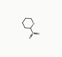 O=P(=O)C1CCCCO1